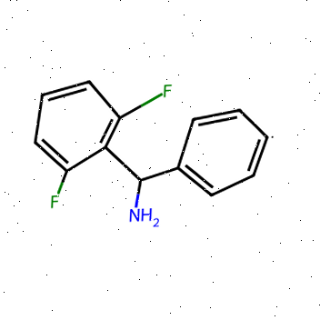 NC(c1cc[c]cc1)c1c(F)cccc1F